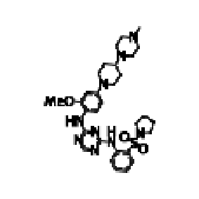 COc1cc(N2CCC(N3CCN(C)CC3)CC2)ccc1Nc1ncnc(Nc2ccccc2S(=O)(=O)N2CCCC2)n1